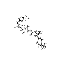 C=CC1(C(=O)NNC(=O)c2cn(C)nc2Nc2ccc(C(F)(F)F)cc2)CC(=O)N(Cc2ccc(OC)cc2)C1